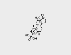 C[C@]12CCC(P(=O)(O)O)=C[C@@H]1CCC1=C3CC[C@H](O)[C@@]3(C)CC[C@@H]12